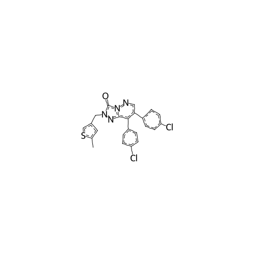 Cc1cc(Cn2nc3c(-c4ccc(Cl)cc4)c(-c4ccc(Cl)cc4)cnn3c2=O)cs1